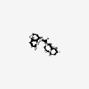 Fc1ccc2c(n1)/C(=N\NC(=S)N1CCN3CCCCC3C1)CCO2